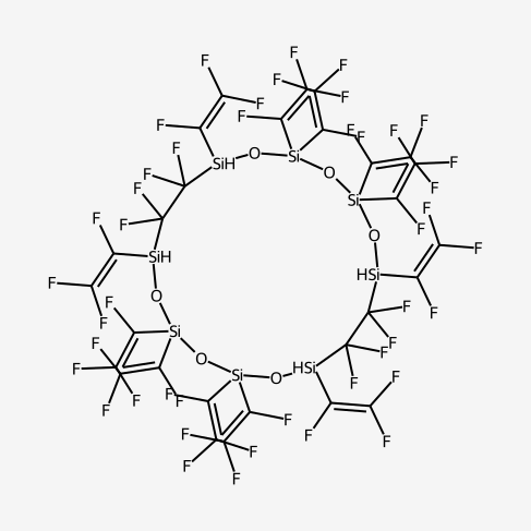 FC(F)=C(F)[SiH]1O[Si](C(F)=C(F)F)(C(F)=C(F)F)O[Si](C(F)=C(F)F)(C(F)=C(F)F)O[SiH](C(F)=C(F)F)C(F)(F)C(F)(F)[SiH](C(F)=C(F)F)O[Si](C(F)=C(F)F)(C(F)=C(F)F)O[Si](C(F)=C(F)F)(C(F)=C(F)F)O[SiH](C(F)=C(F)F)C(F)(F)C1(F)F